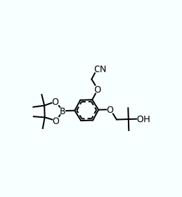 CC(C)(O)COc1ccc(B2OC(C)(C)C(C)(C)O2)cc1OCC#N